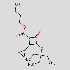 CCCCOC(=O)N1C(=O)C(O[Si](CC)(CC)CC)C1C1CC1